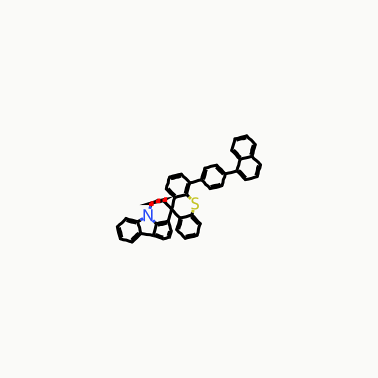 c1ccc2c(c1)Sc1c(-c3ccc(-c4cccc5ccccc45)cc3)cccc1C21c2cccc3c4ccccc4n(c23)C2CCCCC21